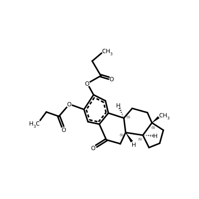 CCC(=O)Oc1cc2c(cc1OC(=O)CC)[C@H]1CC[C@]3(C)CCC[C@H]3[C@@H]1CC2=O